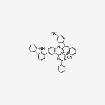 N#Cc1ccc2c3ccc(C#N)cc3n(-c3ccc(-c4cccc5c4[nH]c4ccccc45)cc3-c3nc(-c4ccccc4)nc(-c4ccccc4)n3)c2c1